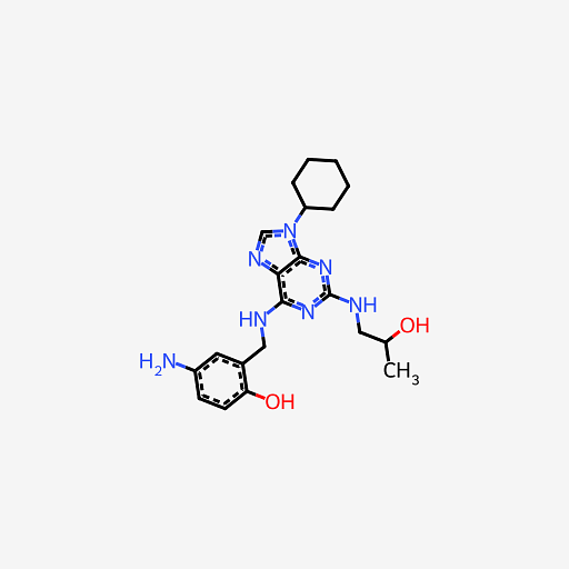 CC(O)CNc1nc(NCc2cc(N)ccc2O)c2ncn(C3CCCCC3)c2n1